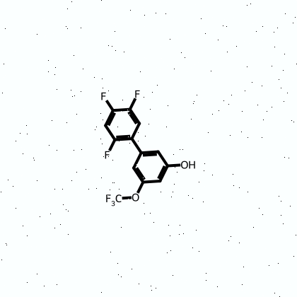 Oc1cc(OC(F)(F)F)cc(-c2cc(F)c(F)cc2F)c1